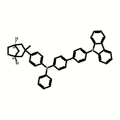 CC1(c2ccc(N(c3ccccc3)c3ccc(-c4ccc(-n5c6ccccc6c6ccccc65)cc4)cc3)cc2)C[C@@H]2CC[C@H](C2)C1